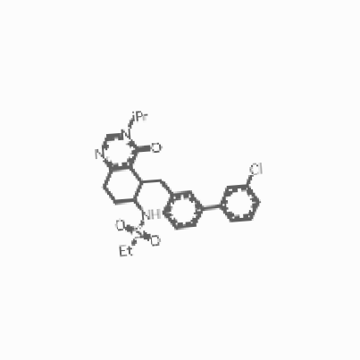 CCS(=O)(=O)NC1CCc2ncn(C(C)C)c(=O)c2C1Cc1cccc(-c2cccc(Cl)c2)c1